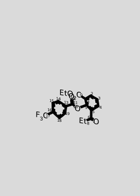 CCOC(=O)c1cccc(C(=O)CC)c1OC(=O)c1ccc(C(F)(F)F)cc1